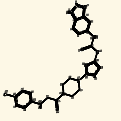 O=C(Nc1ccc2[nH]nnc2c1)Oc1csc(N2CCN(C(=O)CNc3ccc(Cl)cc3)CC2)n1